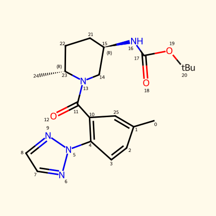 Cc1ccc(-n2nccn2)c(C(=O)N2C[C@H](NC(=O)OC(C)(C)C)CC[C@H]2C)c1